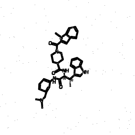 C[C@@H](c1c[nH]c2ccccc12)[C@@H](NC(=O)C1CCN(C(=O)c2cc3ccccc3n2C)CC1)C(=O)Nc1cccc(CN(C)C)c1